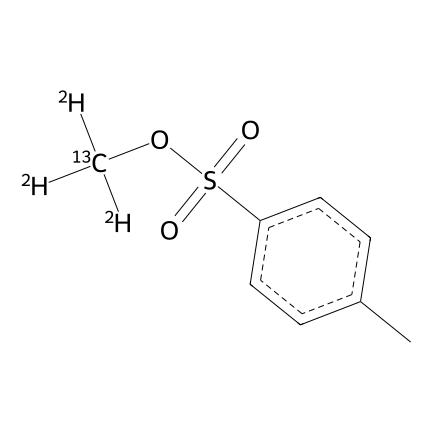 [2H][13C]([2H])([2H])OS(=O)(=O)c1ccc(C)cc1